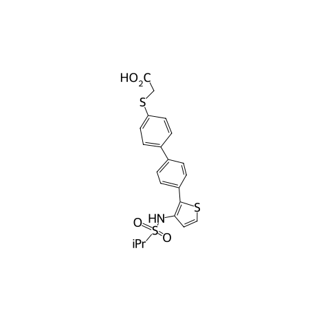 CC(C)S(=O)(=O)Nc1ccsc1-c1ccc(-c2ccc(SCC(=O)O)cc2)cc1